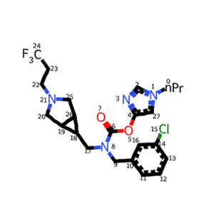 CCCn1cnc(OC(=O)N(Cc2cccc(Cl)c2)CC2C3CN(CCC(F)(F)F)CC32)c1